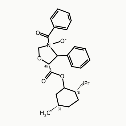 CC(C)[C@@H]1CC[C@H](C)CC1OC(=O)[C@@H]1OC[N+]([O-])(C(=O)c2ccccc2)C1c1ccccc1